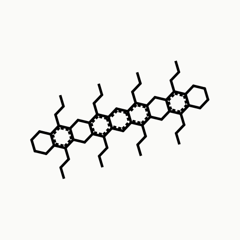 CCCc1c2c(c(CCC)c3c1Cc1c(c(CCC)c4cc5c(CCC)c6c(c(CCC)c5cc4c1CCC)Cc1c(CCC)c4c(c(CCC)c1C6)CCCC4)C3)CCCC2